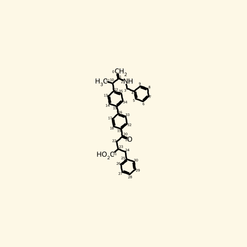 C=C(NCc1ccccc1)C(C)c1ccc(-c2ccc(C(=O)CC(Cc3ccccc3)C(=O)O)cc2)cc1